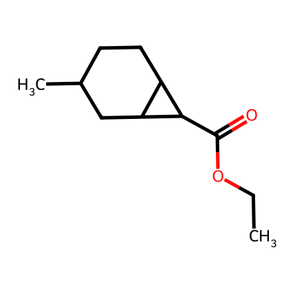 CCOC(=O)C1C2CCC(C)CC21